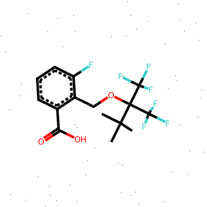 CC(C)(C)C(OCc1c(F)cccc1C(=O)O)(C(F)(F)F)C(F)(F)F